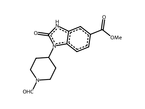 COC(=O)c1ccc2c(c1)[nH]c(=O)n2C1CCN(C=O)CC1